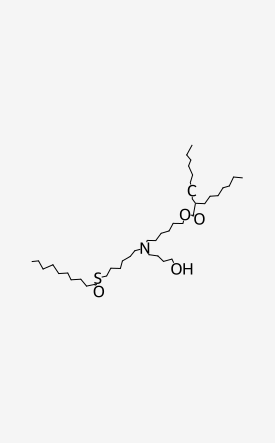 CCCCCCCCCC(=O)SCCCCCCN(CCCCO)CCCCCCOC(=O)C(CCCCCCC)CCCCCCCC